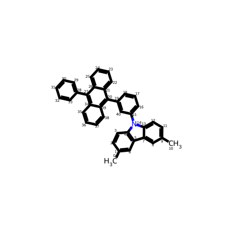 Cc1ccc2c(c1)c1cc(C)ccc1n2-c1cccc(-c2c3ccccc3c(-c3ccccc3)c3ccccc23)c1